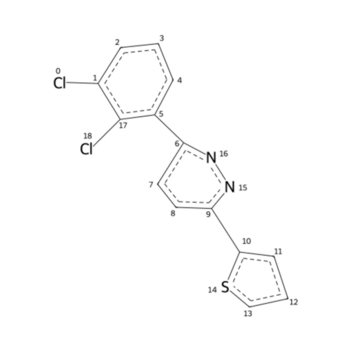 Clc1cccc(-c2ccc(-c3cccs3)nn2)c1Cl